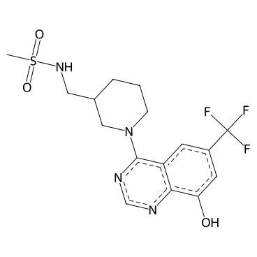 CS(=O)(=O)NCC1CCCN(c2ncnc3c(O)cc(C(F)(F)F)cc23)C1